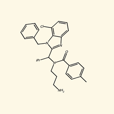 Cc1ccc(C(=O)N(CCCN)C(c2nc3cccc(Cl)c3n2Cc2ccccc2)C(C)C)cc1